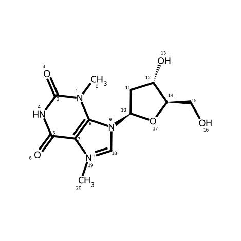 Cn1c(=O)[nH]c(=O)c2c1n([C@H]1C[C@H](O)[C@@H](CO)O1)c[n+]2C